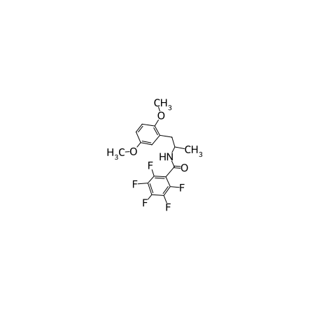 COc1ccc(OC)c(CC(C)NC(=O)c2c(F)c(F)c(F)c(F)c2F)c1